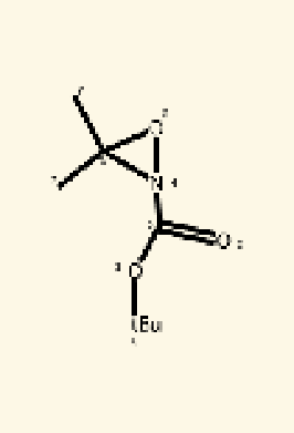 CC(C)(C)OC(=O)N1OC1(C)C